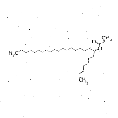 C=CC(=O)OC(CCCCCCC)CCCCCCCCCCCCCCCCCC